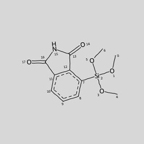 CO[Si](OC)(OC)c1cccc2c1C(=O)NC2=O